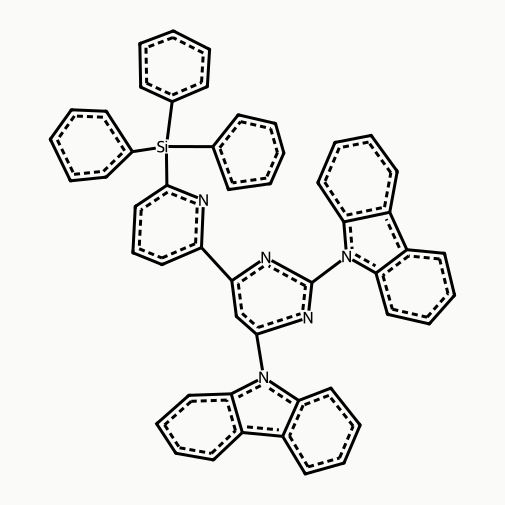 c1ccc([Si](c2ccccc2)(c2ccccc2)c2cccc(-c3cc(-n4c5ccccc5c5ccccc54)nc(-n4c5ccccc5c5ccccc54)n3)n2)cc1